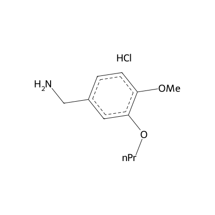 CCCOc1cc(CN)ccc1OC.Cl